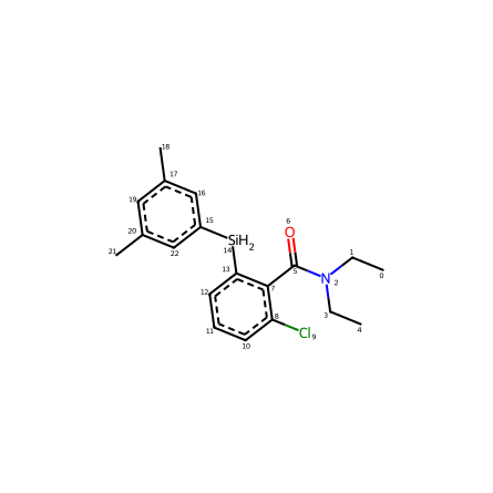 CCN(CC)C(=O)c1c(Cl)cccc1[SiH2]c1cc(C)cc(C)c1